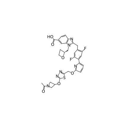 CC(=O)N1CC(Oc2nnc(COc3cccc(-c4cc(F)c(Cc5nc6ccc(C(=O)O)cc6n5C[C@@H]5CCO5)cc4F)n3)s2)C1